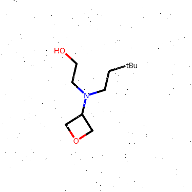 CC(C)(C)CCN(CCO)C1COC1